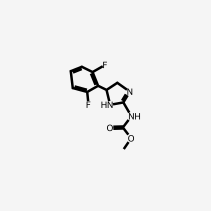 COC(=O)NC1=NCC(c2c(F)cccc2F)N1